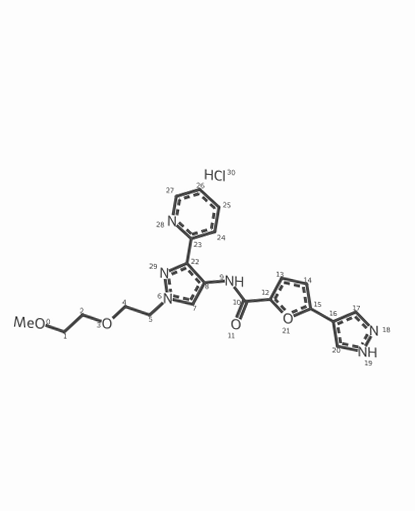 COCCOCCn1cc(NC(=O)c2ccc(-c3cn[nH]c3)o2)c(-c2ccccn2)n1.Cl